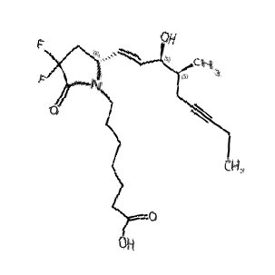 CCC#CC[C@H](C)[C@H](O)C=C[C@H]1CC(F)(F)C(=O)N1CCCCCCC(=O)O